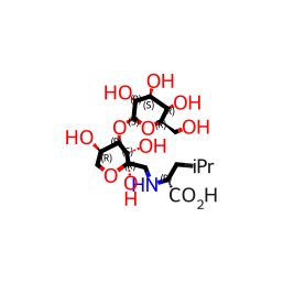 CC(C)C[C@@H](NC[C@@]1(O)OC[C@@H](O)[C@@H](O[C@@H]2O[C@H](CO)[C@H](O)[C@H](O)[C@H]2O)[C@@H]1O)C(=O)O